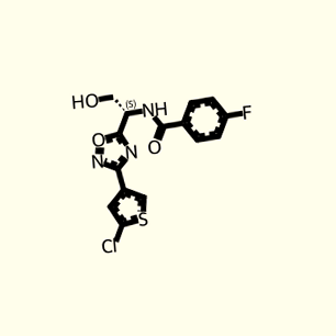 O=C(N[C@@H](CO)c1nc(-c2csc(Cl)c2)no1)c1ccc(F)cc1